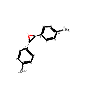 CC(=O)Oc1ccc([C@@H]2O[C@H]2c2ccc(OC(C)=O)cc2)cc1